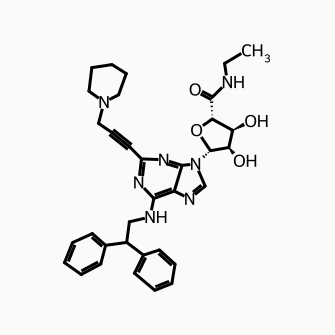 CCNC(=O)[C@H]1O[C@@H](n2cnc3c(NCC(c4ccccc4)c4ccccc4)nc(C#CCN4CCCCC4)nc32)[C@H](O)[C@@H]1O